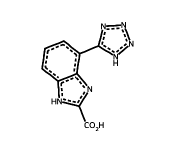 O=C(O)c1nc2c(-c3nnn[nH]3)cccc2[nH]1